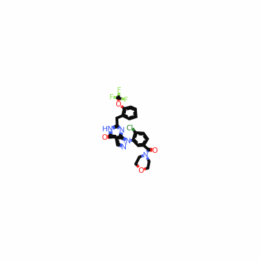 O=C(c1ccc(Cl)c(-n2ncc3c(=O)[nH]c(Cc4ccccc4OC(F)(F)F)nc32)c1)N1CCOCC1